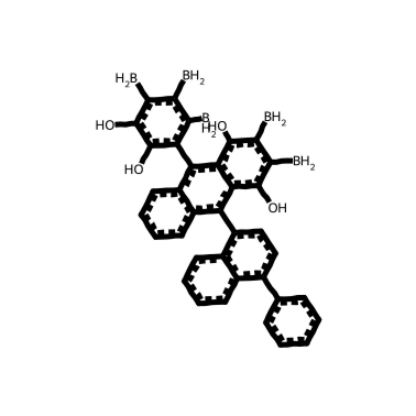 Bc1c(B)c(O)c(O)c(-c2c3ccccc3c(-c3ccc(-c4ccccc4)c4ccccc34)c3c(O)c(B)c(B)c(O)c23)c1B